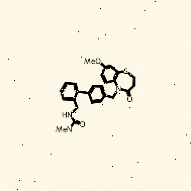 CNC(=O)NCc1ccccc1-c1ccc(CN2C(=O)CCSc3cc(OC)ccc32)cc1